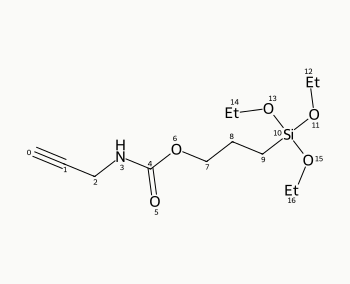 C#CCNC(=O)OCCC[Si](OCC)(OCC)OCC